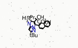 CCCC(C)(C(=O)O)c1c(C)nc2cc(C(C)(C)C)nn2c1-c1ccc2ccccc2c1